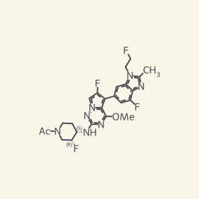 COc1nc(N[C@H]2CCN(C(C)=O)C[C@H]2F)nn2cc(F)c(-c3cc(F)c4nc(C)n(CCF)c4c3)c12